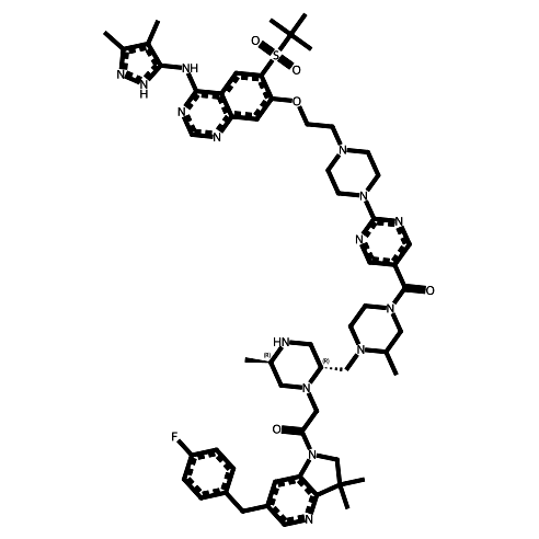 Cc1n[nH]c(Nc2ncnc3cc(OCCN4CCN(c5ncc(C(=O)N6CCN(C[C@H]7CN[C@H](C)CN7CC(=O)N7CC(C)(C)c8ncc(Cc9ccc(F)cc9)cc87)C(C)C6)cn5)CC4)c(S(=O)(=O)C(C)(C)C)cc23)c1C